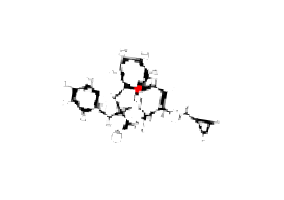 O=C1N=C2C(OCC3CC3)=CC=CN2C1(Cc1ccccc1)Cc1ccccc1